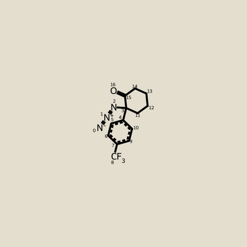 [N-]=[N+]=NC1(c2ccc(C(F)(F)F)cc2)CCCCC1=O